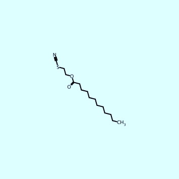 CCCCCCCCCCCC(=O)OCCSC#N